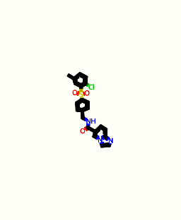 Cc1ccc(Cl)c(S(=O)(=O)c2ccc(CNC(=O)c3ccc4nccn4c3)cc2)c1